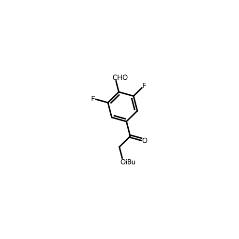 CC(C)COCC(=O)c1cc(F)c(C=O)c(F)c1